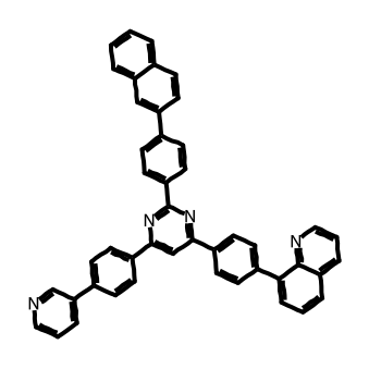 c1cncc(-c2ccc(-c3cc(-c4ccc(-c5cccc6cccnc56)cc4)nc(-c4ccc(-c5ccc6ccccc6c5)cc4)n3)cc2)c1